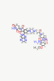 COC1=CC=CC(N)(C(=O)NC2(CO)CCN(C(=O)CCN3CCN(c4cc5c(c(-c6ncc7nccnc7n6)c4)C(=O)N(C4CCC(=O)NC4=O)C5=O)CC3)CC2)C1